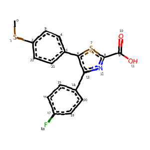 CSc1ccc(-c2sc(C(=O)O)nc2-c2ccc(F)cc2)cc1